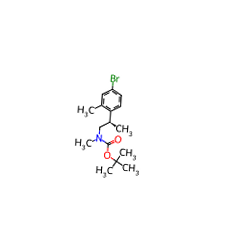 Cc1cc(Br)ccc1[C@@H](C)CN(C)C(=O)OC(C)(C)C